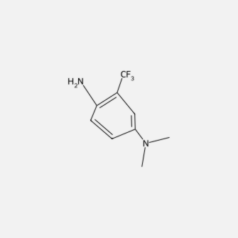 CN(C)c1ccc(N)c(C(F)(F)F)c1